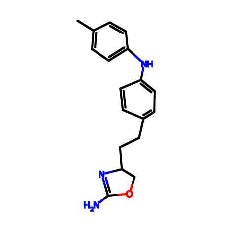 Cc1ccc(Nc2ccc(CCC3COC(N)=N3)cc2)cc1